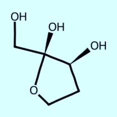 OC[C@@]1(O)OCC[C@@H]1O